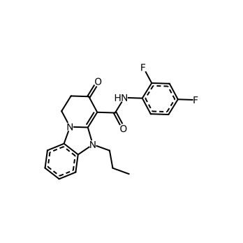 CCCN1C2=C(C(=O)Nc3ccc(F)cc3F)C(=O)CCN2c2ccccc21